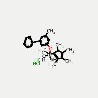 CC1=C(C)C(C)[C]([Ti]([CH3])([CH3])([SiH3])[O]c2cc(C)cc(-c3ccccc3)c2)=C1C.Cl.Cl